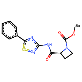 CC(C)(C)OC(=O)N1CC[C@H]1C(=O)Nc1nsc(-c2ccccc2)n1